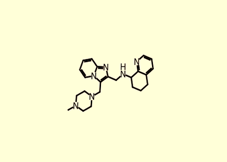 CN1CCN(Cc2c(CNC3CCCc4cccnc43)nc3ccccn23)CC1